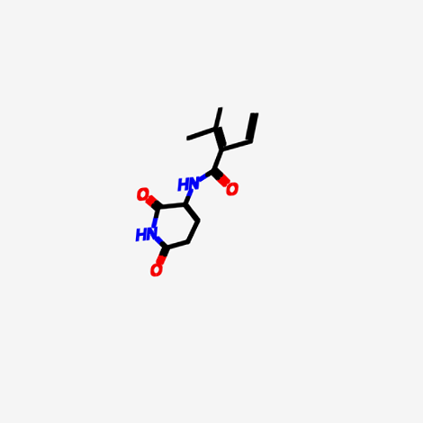 C=CC(C(=O)NC1CCC(=O)NC1=O)=C(C)C